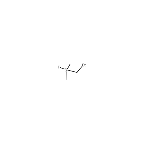 CCC[Si](C)(C)F